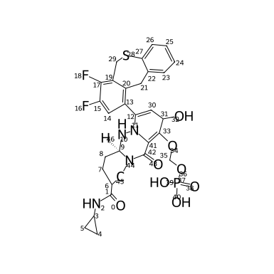 O=C(NC1CC1)C1CC[C@H]2NN3C(c4cc(F)c(F)c5c4Cc4ccccc4SC5)=CC(O)C(OCOP(=O)(O)O)=C3C(=O)N2C1